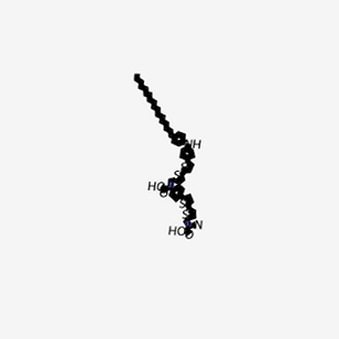 CCCCCCCCCCCCCCCCCCc1ccc(Nc2ccc(-c3ccc(-c4ccc(/C=C(/C(=O)O)c5ccc(-c6ccc(-c7ccc(/C=C(\C#N)C(=O)O)s7)s6)cc5)s4)s3)cc2)cc1